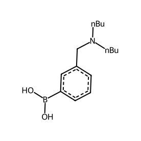 CCCCN(CCCC)Cc1cccc(B(O)O)c1